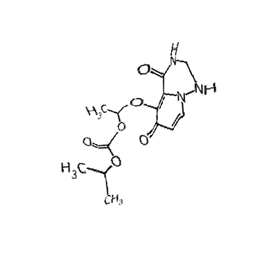 CC(C)OC(=O)OC(C)Oc1c2n(ccc1=O)NCNC2=O